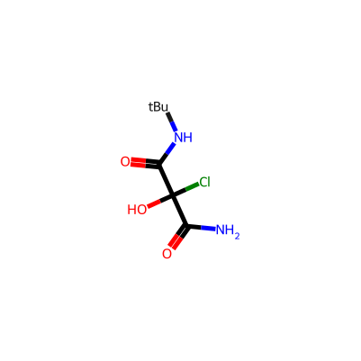 CC(C)(C)NC(=O)C(O)(Cl)C(N)=O